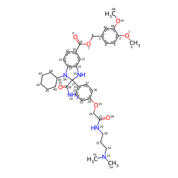 COc1ccc(COC(=O)c2ccc3c(c2)NC(C(N)=O)(c2ccc(OCC(=O)NCCCN(C)C)cc2)N3C2CCCCC2)cc1OC